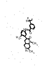 Cc1ccc(NC(=O)c2cccc(C(F)(F)F)c2)cc1C1CC2CNC(C)CC2N(C)C1=O